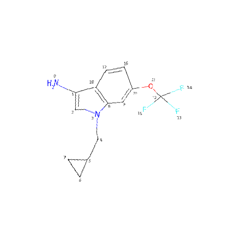 Nc1cn(CC2CC2)c2cc(OC(F)(F)F)ccc12